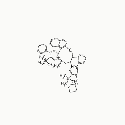 C=C1CC2C(CCc3ccc4ccccc4c3-c3cc(-c4ccccc4)c([Si](C)(C)C)c[n+]31)c1ccccc1-c1cc(CC3CCCCC3)c([Si](C)(C)C)c[n+]12